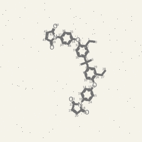 CCc1cc(C(C)(C)c2ccc(Oc3ccc(N4C(=O)C=CC4=O)cc3)c(CC)c2)ccc1Oc1ccc(N2C(=O)C=CC2=O)cc1